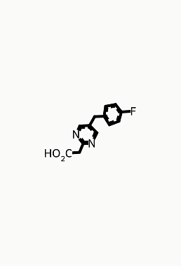 O=C(O)Cc1ncc(Cc2ccc(F)cc2)cn1